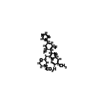 Cc1ccn2c(CC3CN(C(=O)O)CCO3)c(-c3c(F)cc(-n4cncn4)cc3F)nc2c1